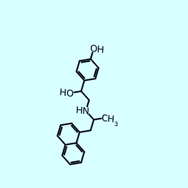 CC(Cc1cccc2ccccc12)NCC(O)c1ccc(O)cc1